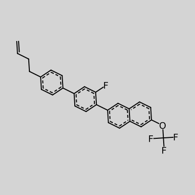 C=CCCc1ccc(-c2ccc(-c3ccc4cc(OC(F)(F)F)ccc4c3)c(F)c2)cc1